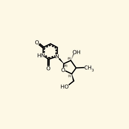 CC1[C@@H](O)[C@H](n2ccc(=O)[nH]c2=O)O[C@@H]1CO